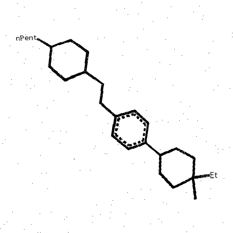 CCCCCC1CCC(CCc2ccc(C3CCC(C)(CC)CC3)cc2)CC1